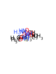 CC(C)COC(=O)C(C)(C)O/N=C(\C(=O)N[C@@H]1C(=O)N[C@@H]1CN)c1csc(NC(=O)OC(C)(C)C)n1